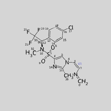 C=N/C=C\n1cc(S(=O)(=O)N(C)[C@H](c2ccc(Cl)cc2)C(F)(F)F)nc1C